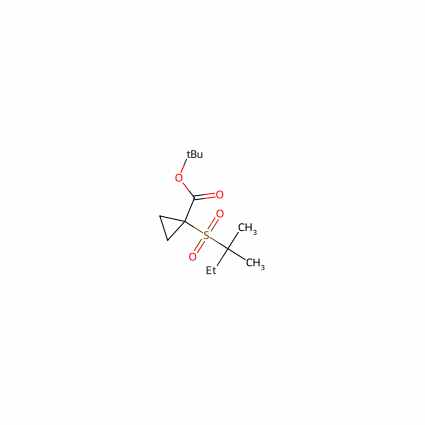 CCC(C)(C)S(=O)(=O)C1(C(=O)OC(C)(C)C)CC1